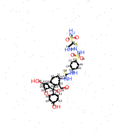 NS(=O)(=O)C1=CNN(NS(=O)(=O)c2ccc(NC(=S)Nc3cccc4c3C(=O)OC43c4ccc(O)cc4Oc4cc(O)ccc43)cc2)S1